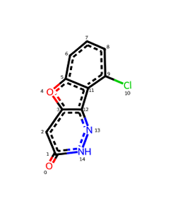 O=c1cc2oc3cccc(Cl)c3c2n[nH]1